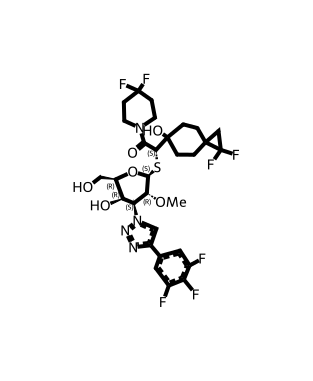 CO[C@@H]1[C@@H](n2cc(-c3cc(F)c(F)c(F)c3)nn2)[C@@H](O)[C@@H](CO)O[C@H]1S[C@H](C(=O)N1CCC(F)(F)CC1)C1(O)CCC2(CC1)CC2(F)F